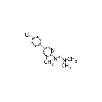 Cc1cc(-c2ccc(Cl)cc2)cnc1N=CN(C)C